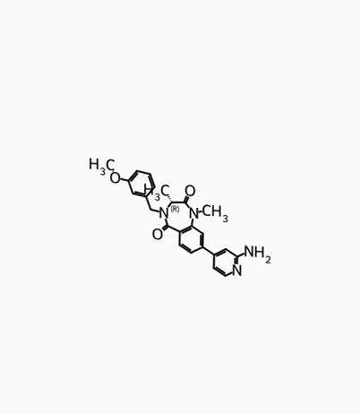 COc1cccc(CN2C(=O)c3ccc(-c4ccnc(N)c4)cc3N(C)C(=O)[C@H]2C)c1